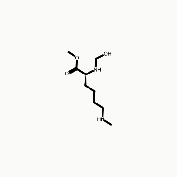 CNCCCC[C@H](NCO)C(=O)OC